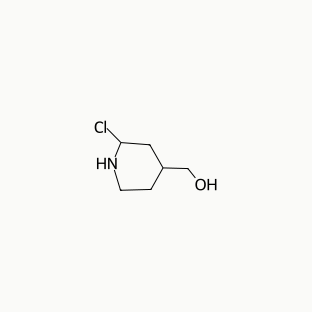 OCC1CCNC(Cl)C1